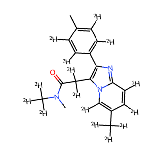 [2H]c1c([2H])c(-c2nc3c([2H])c([2H])c(C([2H])([2H])[2H])c([2H])n3c2C([2H])([2H])C(=O)N(C)C([2H])([2H])[2H])c([2H])c([2H])c1C